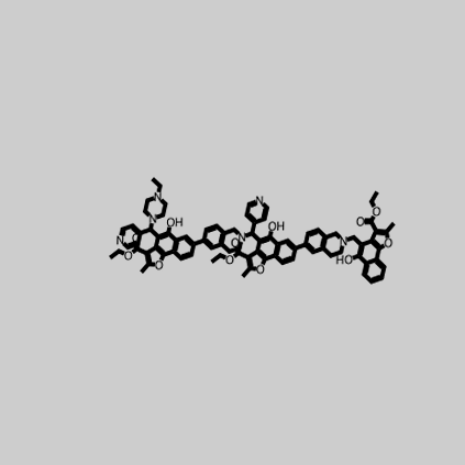 CCOC(=O)c1c(C)oc2c1c(CN1CCc3cc(-c4ccc5c(c4)c(O)c(C(c4ccncc4)N4CCc6cc(-c7ccc8c(c7)c(O)c(C(c7ccncc7)N7CCN(CC)CC7)c7c(C(=O)OCC)c(C)oc78)ccc6C4)c4c(C(=O)OCC)c(C)oc45)ccc3C1)c(O)c1ccccc12